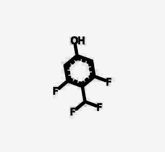 Oc1cc(F)c(C(F)F)c(F)c1